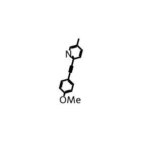 COc1ccc(C#Cc2ccc(C)cn2)cc1